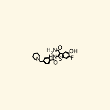 NC(=O)c1c(NC(=O)c2ccc(CN3CCCCC3)cc2)sc2cc(F)c(O)cc12